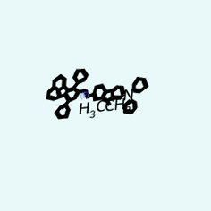 CC1(C)c2cc(/C=C/c3cc(-c4ccccc4)c4c(c3-c3ccccc3)-c3cccc5cccc-4c35)ccc2-c2ccc(N(c3ccccc3)c3ccccc3)cc21